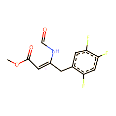 COC(=O)/C=C(/Cc1cc(F)c(F)cc1F)NC=O